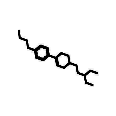 CCCCc1ccc(C2=CCC(CCC(CC)CC)CC2)cc1